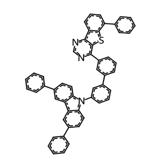 c1ccc(-c2ccc3c(c2)c2cc(-c4ccccc4)ccc2n3-c2cccc(-c3cccc(-c4ncnc5c4sc4c(-c6ccccc6)cccc45)c3)c2)cc1